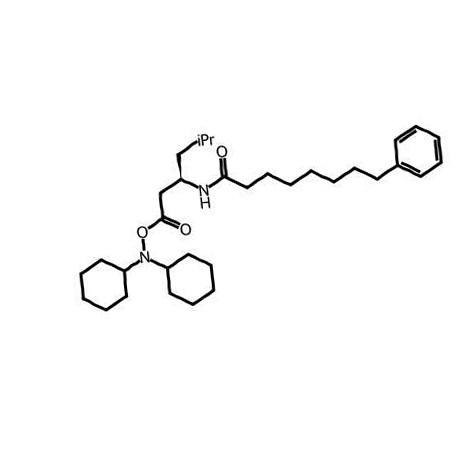 CC(C)C[C@H](CC(=O)ON(C1CCCCC1)C1CCCCC1)NC(=O)CCCCCCCc1ccccc1